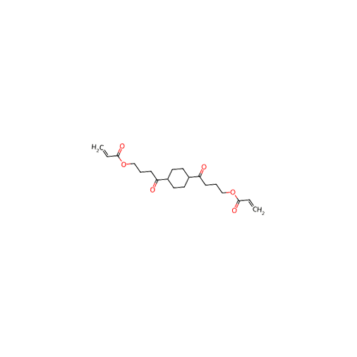 C=CC(=O)OCCCC(=O)C1CCC(C(=O)CCCOC(=O)C=C)CC1